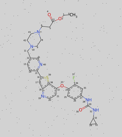 CCOC(=O)CCN1CCN(Cc2ccc(-c3cc4nccc(Oc5ccc(NC(=O)NC6CC6)cc5F)c4s3)nc2)CC1